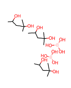 CC(O)CC(C)(C)O.CC(O)CC(C)(C)O.CC(O)CC(C)(C)O.OB(O)O.OB(O)O